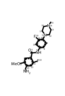 COc1cc(C(=O)Nc2ccc(N3CCN(C)CC3)c(F)c2)c(F)cc1N